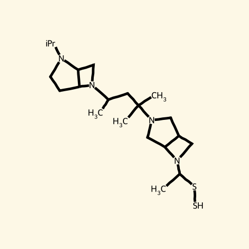 CC(C)N1CCC2C1CN2C(C)CC(C)(C)N1CC2CN(C(C)SS)C2C1